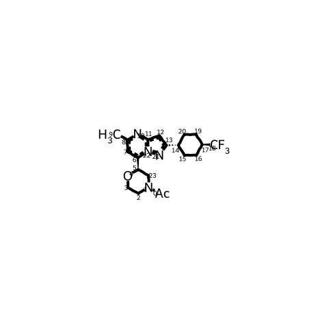 CC(=O)N1CCO[C@@H](c2cc(C)nc3cc([C@H]4CC[C@H](C(F)(F)F)CC4)nn23)C1